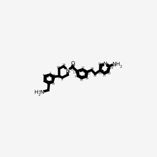 NCc1cccc(C2CCN(C(=O)c3cccc(CCc4ccc(N)nc4)c3)CC2)c1